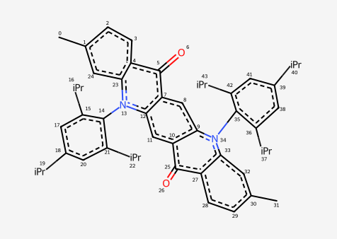 Cc1ccc2c(=O)c3cc4c(cc3n(-c3c(C(C)C)cc(C(C)C)cc3C(C)C)c2c1)c(=O)c1ccc(C)cc1n4-c1c(C(C)C)cc(C(C)C)cc1C(C)C